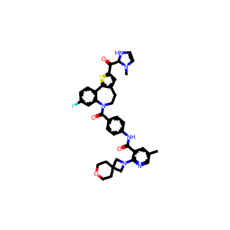 Cc1cnc(N2CC3(CCOCC3)C2)c(C(=O)Nc2ccc(C(=O)N3CCc4cc(C(=O)C5NC=CN5C)sc4-c4ccc(F)cc43)cc2)c1